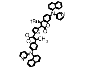 Cc1c(-c2ccc(-c3c(C(C)(C)C)c4ccc(N(c5cccnc5)c5cccc6ccccc56)cc4oc3=O)s2)c(=O)oc2cc(N(c3cccnc3)c3cccc4ccccc34)ccc12